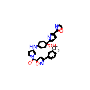 O=C(C1CC(c2cccc(C(F)(F)F)c2)=NO1)N1CC[C@H](NC2CCC(O)(c3ccc(-c4ncco4)cn3)CC2)C1